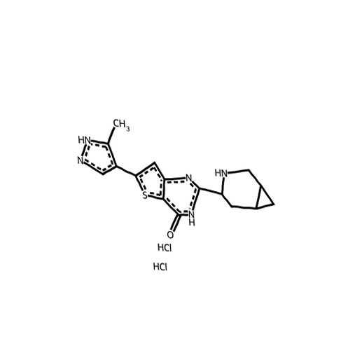 Cc1[nH]ncc1-c1cc2nc(C3CC4CC4CN3)[nH]c(=O)c2s1.Cl.Cl